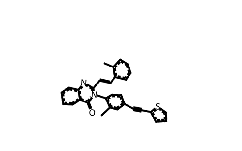 Cc1ccccc1/C=C/c1nc2ccccc2c(=O)n1-c1ccc(C#Cc2cccs2)cc1C